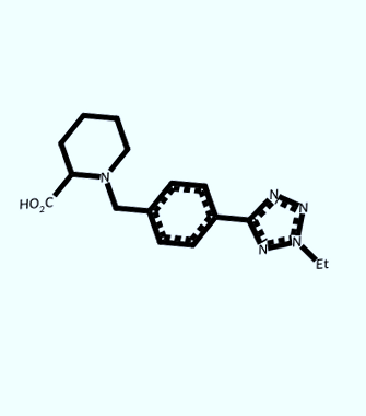 CCn1nnc(-c2ccc(CN3CCCCC3C(=O)O)cc2)n1